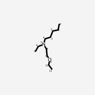 CCCCCN(CC)CCOCC